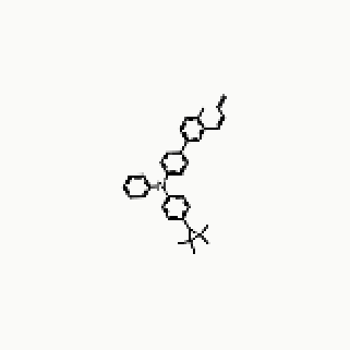 C=C/C=C\c1cc(-c2ccc(N(c3ccccc3)c3ccc(C4C(C)(C)C4(C)C)cc3)cc2)ccc1C